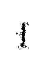 C=C(C)C(=O)OCOc1ccc(C(=O)Oc2ccc(OC(=O)c3ccc(OC(=O)C(=C)Cl)cc3)c(C)c2)cc1